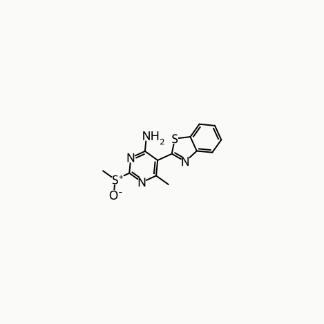 Cc1nc([S+](C)[O-])nc(N)c1-c1nc2ccccc2s1